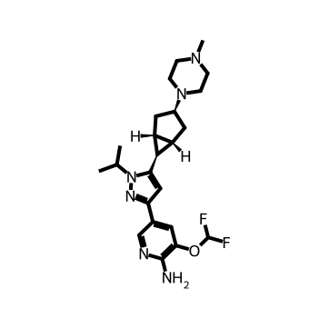 CC(C)n1nc(-c2cnc(N)c(OC(F)F)c2)cc1[C@H]1[C@@H]2C[C@@H](N3CCN(C)CC3)C[C@@H]21